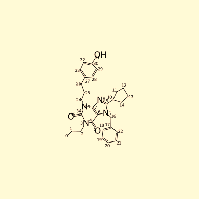 CCCn1c(=O)c2c(nc(C3CCCC3)n2Cc2ccccc2)n(CCCc2ccc(O)cc2)c1=O